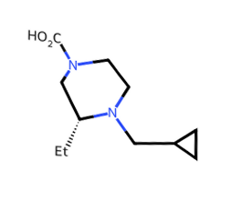 CC[C@@H]1CN(C(=O)O)CCN1CC1CC1